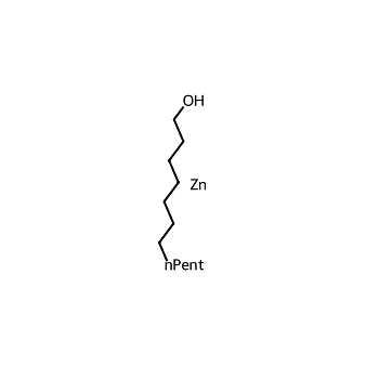 CCCCCCCCCCCCO.[Zn]